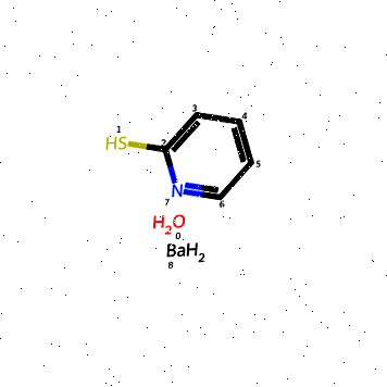 O.Sc1ccccn1.[BaH2]